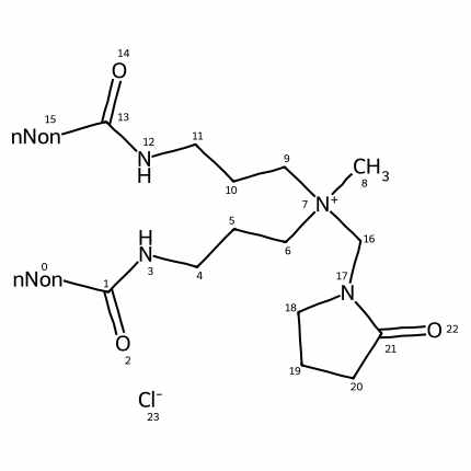 CCCCCCCCCC(=O)NCCC[N+](C)(CCCNC(=O)CCCCCCCCC)CN1CCCC1=O.[Cl-]